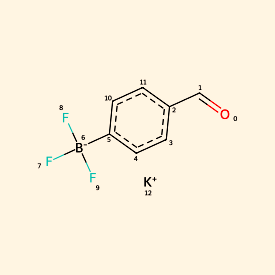 O=Cc1ccc([B-](F)(F)F)cc1.[K+]